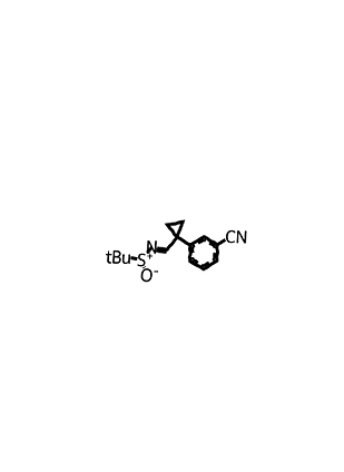 CC(C)(C)[S+]([O-])N=CC1(c2cccc(C#N)c2)CC1